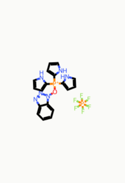 F[P-](F)(F)(F)(F)F.c1c[nH]c([P+](On2nnc3ccccc32)(c2ccc[nH]2)c2ccc[nH]2)c1